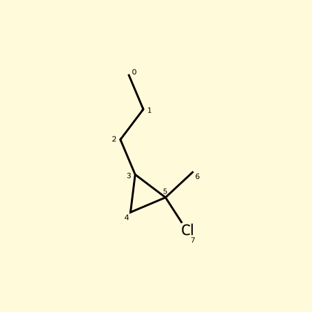 CCCC1CC1(C)Cl